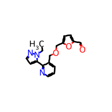 CCn1nccc1-c1ncccc1COCc1ccc(C=O)o1